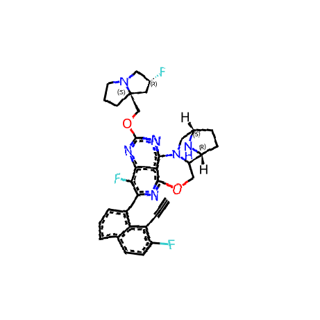 C#Cc1c(F)ccc2cccc(-c3nc4c5c(nc(OC[C@@]67CCCN6C[C@H](F)C7)nc5c3F)N3C[C@@H]5CC[C@@H](N5)C3CO4)c12